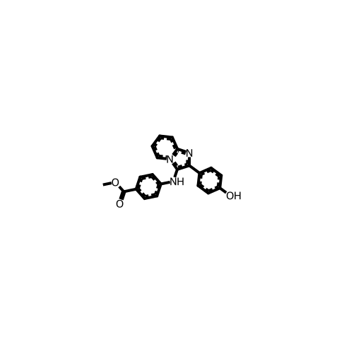 COC(=O)c1ccc(Nc2c(-c3ccc(O)cc3)nc3ccccn23)cc1